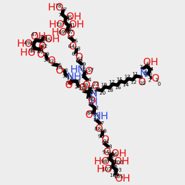 COC[C@@H]1C[C@@H](O)CN1C(=O)CCCCCCCCCCC(=O)NC(COCCC(=O)NCCOCCOCCO[C@H]1OC(CO)[C@@H](O)C(O)[C@H]1O)(COCCC(=O)NCCOCCOCCO[C@@H](O)[C@H](O)C(O)[C@H](O)CCO)COCCC(=O)NCCOCCOCCO[C@@H](O)[C@H](O)C(O)[C@H](O)CCO